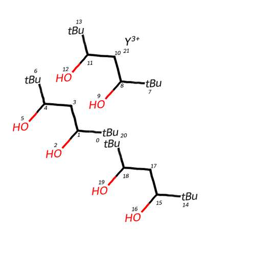 CC(C)(C)C(O)CC(O)C(C)(C)C.CC(C)(C)C(O)CC(O)C(C)(C)C.CC(C)(C)C(O)CC(O)C(C)(C)C.[Y+3]